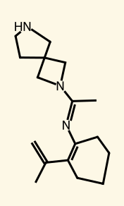 C=C(C)C1=C(/N=C(\C)N2CC3(CCNC3)C2)CCCC1